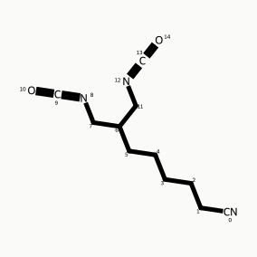 N#CCCCCCC(CN=C=O)CN=C=O